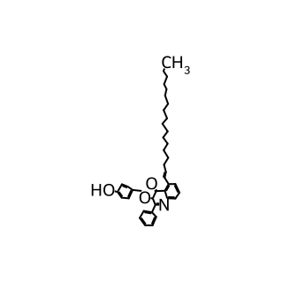 CCCCCCCCCCCCCCCCC=Cc1cccc2c1C(=O)C(OCc1ccc(O)cc1)C(c1ccccc1)=N2